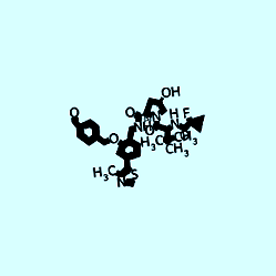 Cc1ncsc1-c1ccc(CNC(=O)[C@@H]2C[C@@H](O)CN2C(=O)C(NC(=O)C2(F)CC2)C(C)(C)C)c(OCc2ccc(C=O)cc2)c1